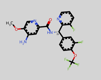 COc1cnc(C(=O)N[C@@H](c2ccc(OC(F)(F)F)c(F)c2)c2ncccc2F)cc1N